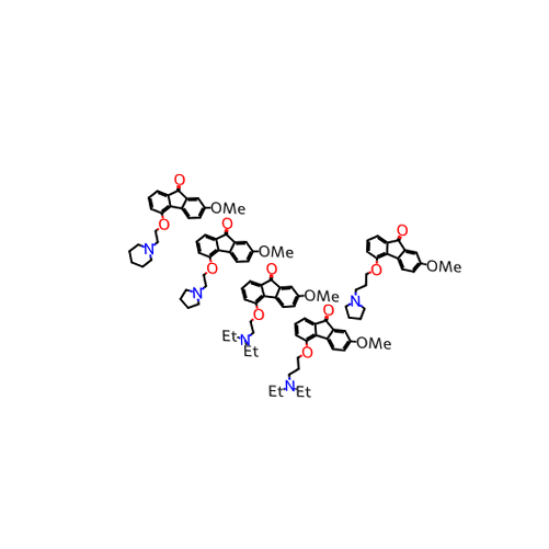 CCN(CC)CCCOc1cccc2c1-c1ccc(OC)cc1C2=O.CCN(CC)CCOc1cccc2c1-c1ccc(OC)cc1C2=O.COc1ccc2c(c1)C(=O)c1cccc(OCCCN3CCCC3)c1-2.COc1ccc2c(c1)C(=O)c1cccc(OCCN3CCCC3)c1-2.COc1ccc2c(c1)C(=O)c1cccc(OCCN3CCCCC3)c1-2